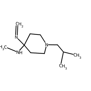 C=NC1(NC)CCN(CC(C)C)CC1